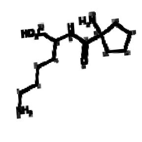 NCCCCC(NC(=O)C1(N)CCCC1)C(=O)O